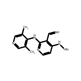 CCCCNc1ccnc(Nc2c(C)cncc2C)c1C=N